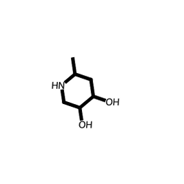 CC1CC(O)C(O)CN1